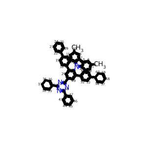 Cc1ccc2c(c1)c1cc(C)ccc1n2-c1c(-c2ccc(-c3ccccc3)cc2)cc(-c2nc(C3=CCCC=C3)nc(-c3ccccc3)n2)cc1-c1ccc(C2C=CC=CC2)cc1